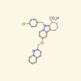 O=C(O)C1[CH]CCc2c1n(Cc1ccc(Cl)cc1)c1ccc(OCc3ccc4ccccc4n3)cc21